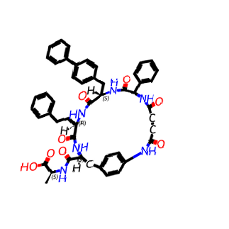 C[C@H](NC(=O)[C@@H]1Cc2ccc(cc2)NC(=O)CCC(=O)NC(c2ccccc2)C(=O)N[C@@H](Cc2ccc(-c3ccccc3)cc2)C(=O)N[C@H](CCc2ccccc2)C(=O)N1)C(=O)O